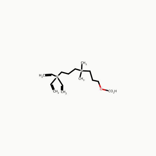 C=C[Si](C=C)(C=C)CCC[Si](C)(C)CCCOC(=O)O